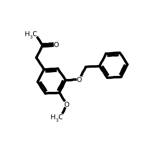 COc1ccc(CC(C)=O)cc1OCc1ccccc1